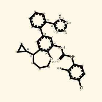 O=C(Nc1ccc(Cl)cc1F)Nc1cc(-c2ccccc2-c2nnn[nH]2)cc2c1OCCCC2C1CC1